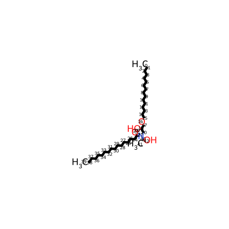 CCCCCCCCCCCCCCCCOCC(O)CN(C(=O)CCCCCCCCCCCCCCCC)C(C)O